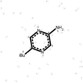 CCC(C)c1cnc(N)cn1